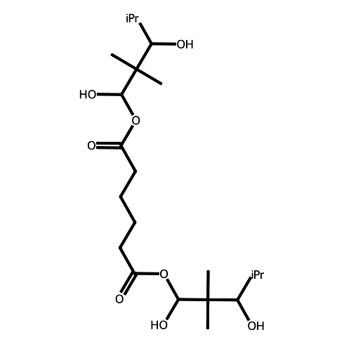 CC(C)C(O)C(C)(C)C(O)OC(=O)CCCCC(=O)OC(O)C(C)(C)C(O)C(C)C